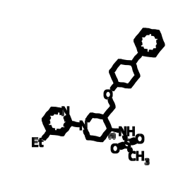 CCc1ccnc(N2CC[C@H](NS(C)(=O)=O)C(COC3CCC(c4ccccc4)CC3)C2)c1